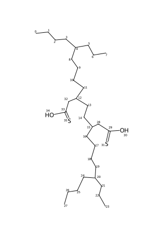 CCCCC(CCC)CCCCC(CCC(CCCCC(CCC)CCCC)CC(O)=S)CC(O)=S